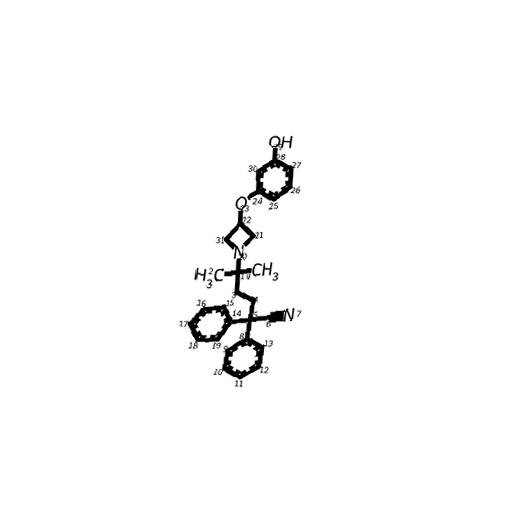 CC(C)(CCC(C#N)(c1ccccc1)c1ccccc1)N1CC(Oc2cccc(O)c2)C1